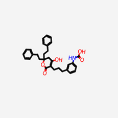 O=C(O)Nc1cccc(CCCC2=C(O)CC(CCc3ccccc3)(CCc3ccccc3)OC2=O)c1